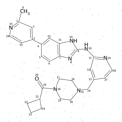 Cc1cc(-c2ccc3nc(Nc4cc(CN5CCN(C(=O)C6CCC6)CC5)ccn4)[nH]c3c2)ccn1